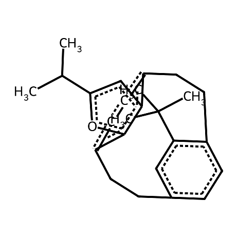 CC(C)c1cc2c3ccc(c2o1)CCc1ccc(c(C(C)(C)C)c1)CC3